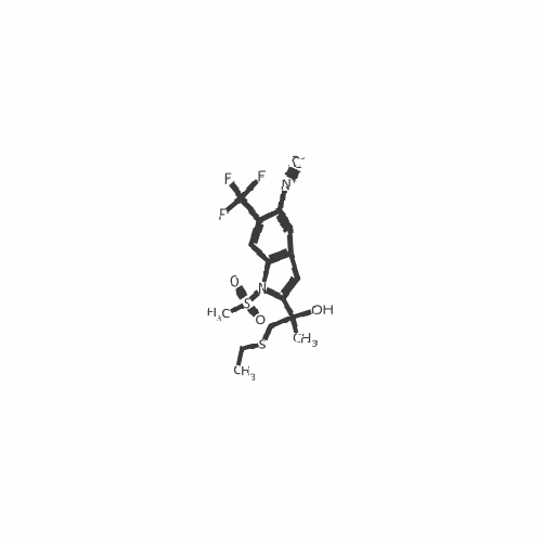 [C-]#[N+]c1cc2cc(C(C)(O)CSCC)n(S(C)(=O)=O)c2cc1C(F)(F)F